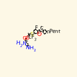 CCCCCc1ccc(-c2cc3ccc(SCC(C)(COC(=O)C(C)(C)C(N)CC(C)(C)N)C(F)(F)F)cc3o2)c(C(F)(F)F)c1